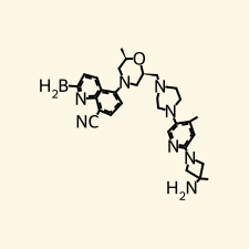 Bc1ccc2c(N3C[C@H](CN4CCN(c5cnc(N6CC(C)(N)C6)cc5C)CC4)O[C@H](C)C3)ccc(C#N)c2n1